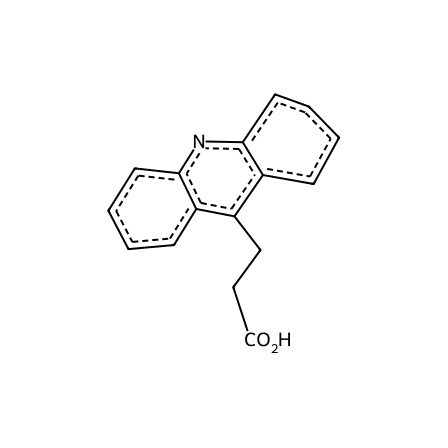 O=C(O)CCc1c2ccccc2nc2ccccc12